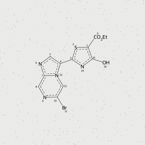 CCOC(=O)c1sc(-c2cnc3cnc(Br)cn23)nc1O